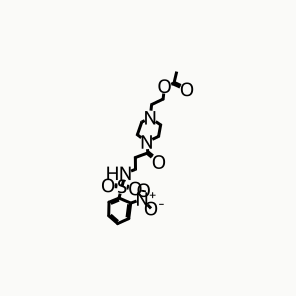 CC(=O)OCCN1CCN(C(=O)CCNS(=O)(=O)c2ccccc2[N+](=O)[O-])CC1